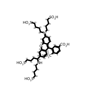 O=C(O)c1ccc(C(=O)O)c(-c2c3ccc(=[N+](CCCCS(=O)(=O)O)CCCCS(=O)(=O)O)cc-3oc3cc(C(CCCS(=O)(=O)O)NCCCCS(=O)(=O)O)ccc23)c1